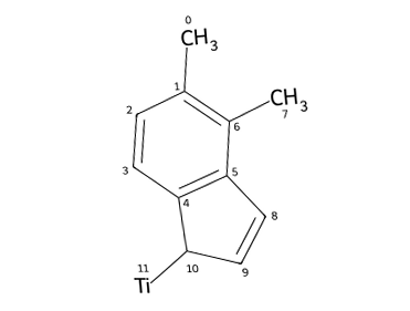 Cc1ccc2c(c1C)C=C[CH]2[Ti]